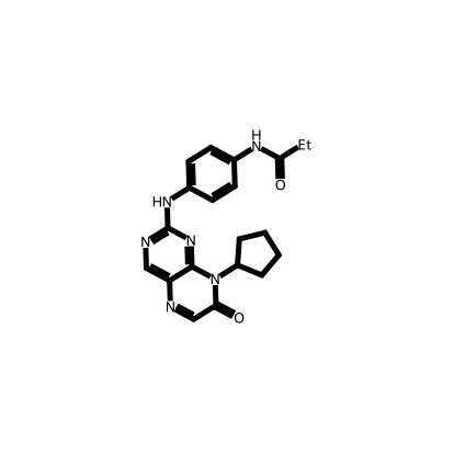 CCC(=O)Nc1ccc(Nc2ncc3ncc(=O)n(C4CCCC4)c3n2)cc1